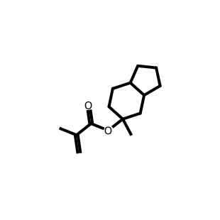 C=C(C)C(=O)OC1(C)CCC2CCCC2C1